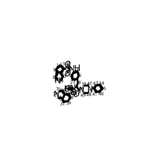 O=C(C(Cc1ccc(NS(=O)(=O)c2cccc3cnccc23)cc1)NS(=O)(=O)c1cccc2cnccc12)N1CCN(c2ccccc2)CC1